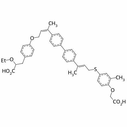 CCOC(Cc1ccc(OCC=C(C)c2ccc(-c3ccc(C(C)=CCSc4ccc(OCC(=O)O)c(C)c4)cc3)cc2)cc1)C(=O)O